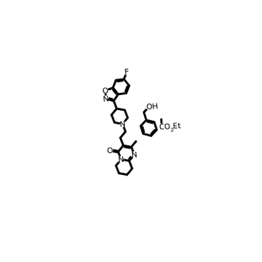 CCOC(C)=O.Cc1nc2n(c(=O)c1CCN1CCC(c3noc4cc(F)ccc34)CC1)CCCC2.OCc1ccccc1